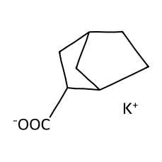 O=C([O-])C1CC2CCC1C2.[K+]